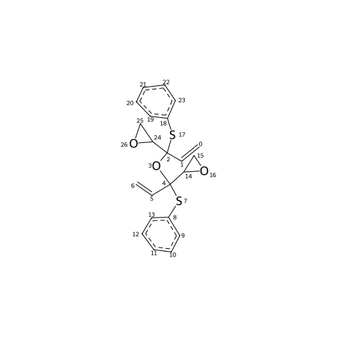 C=CC(OC(C=C)(Sc1ccccc1)C1CO1)(Sc1ccccc1)C1CO1